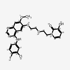 COc1cc2ncnc(Nc3ccc(F)c(Cl)c3)c2cc1OCCOCCn1cccc(O)c1=O